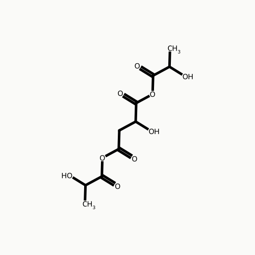 CC(O)C(=O)OC(=O)CC(O)C(=O)OC(=O)C(C)O